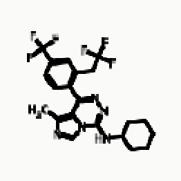 Cc1ncn2c(NC3CCCCC3)nnc(-c3ccc(C(F)(F)F)cc3CC(F)(F)F)c12